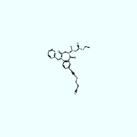 CCOC(=O)CC(C)N1CC(=O)N(Cc2ccccc2)c2ccc(C#CCCCC#N)cc2C1=O